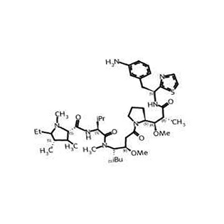 CCC1[C@@H](C)C(C)[C@@H](C(=O)N[C@H](C(=O)N(C)C([C@@H](C)CC)[C@@H](CC(=O)N2CCC[C@H]2[C@H](OC)[C@@H](C)C(=O)N[C@@H](Cc2cccc(N)c2)c2nccs2)OC)C(C)C)N1C